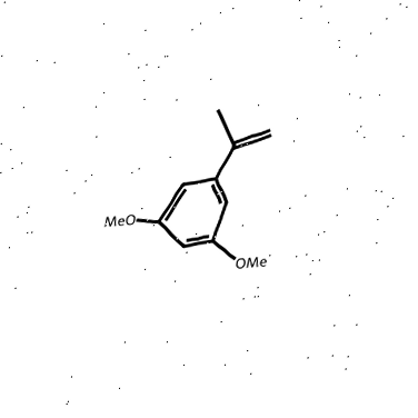 C=C(C)c1cc(OC)cc(OC)c1